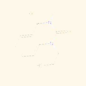 CC(S)Cn1c(=O)n(C)c(=O)c2ccccc21